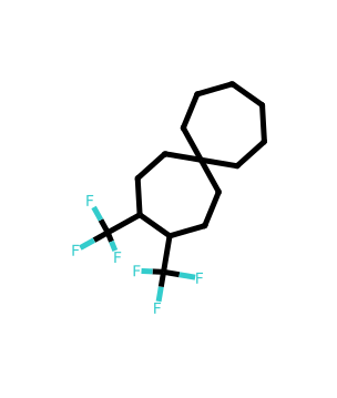 FC(F)(F)C1CCC2(CCCCCC2)CCC1C(F)(F)F